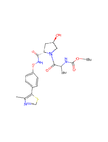 Cc1ncsc1-c1ccc(ONC(=O)[C@@H]2C[C@@H](O)CN2C(=O)C(NC(=O)OC(C)(C)C)C(C)(C)C)cc1